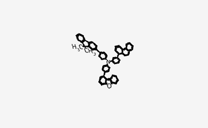 CC1(C)c2ccccc2-c2ccc(-c3ccc(N(c4ccc(-c5cccc6oc7ccccc7c56)cc4)c4cccc(-c5cccc6c5ccc5ccccc56)c4)cc3)cc21